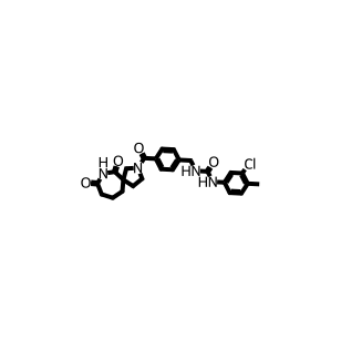 Cc1ccc(NC(=O)NCc2ccc(C(=O)N3CCC4(CCCC(=O)NC4=O)C3)cc2)cc1Cl